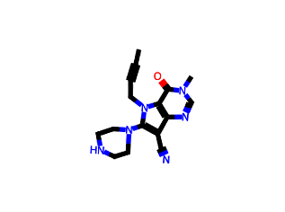 CC#CCn1c(N2CCNCC2)c(C#N)c2ncn(C)c(=O)c21